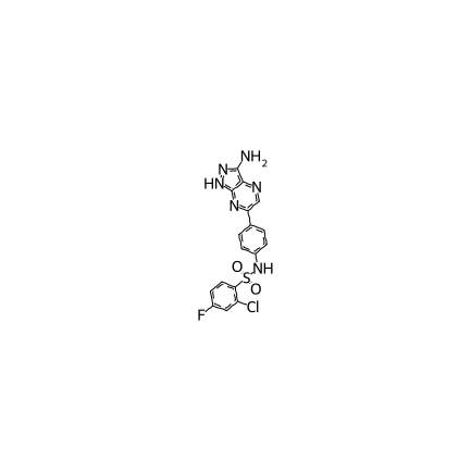 Nc1n[nH]c2nc(-c3ccc(NS(=O)(=O)c4ccc(F)cc4Cl)cc3)cnc12